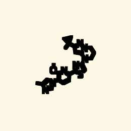 COc1nc(-c2nc(N3CCCn4nc(C5(C)CC5)cc43)cs2)ccc1-n1cnc(C)c1